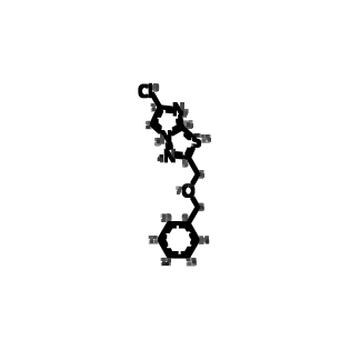 Clc1cn2nc(COCc3ccccc3)sc2n1